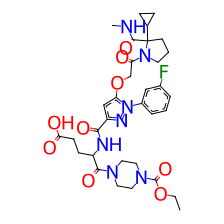 CCOC(=O)N1CCN(C(=O)C(CCC(=O)O)NC(=O)c2cc(OCC(=O)N3CCCC3(C(=O)NC)C3CC3)n(-c3cccc(F)c3)n2)CC1